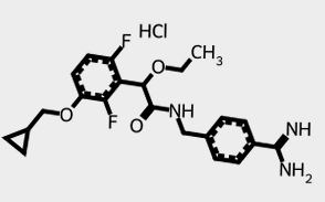 CCOC(C(=O)NCc1ccc(C(=N)N)cc1)c1c(F)ccc(OCC2CC2)c1F.Cl